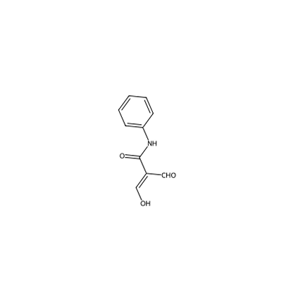 O=C/C(=C\O)C(=O)Nc1ccccc1